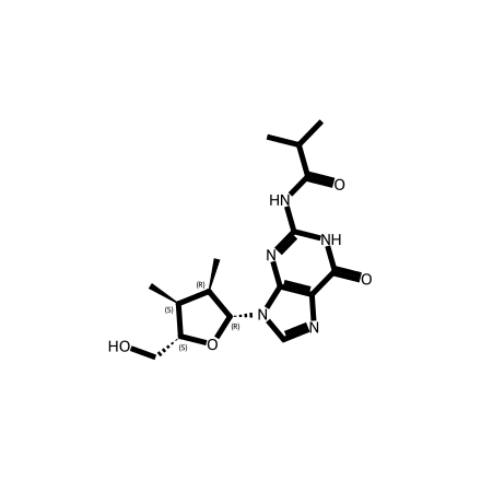 CC(C)C(=O)Nc1nc2c(ncn2[C@@H]2O[C@H](CO)[C@@H](C)[C@H]2C)c(=O)[nH]1